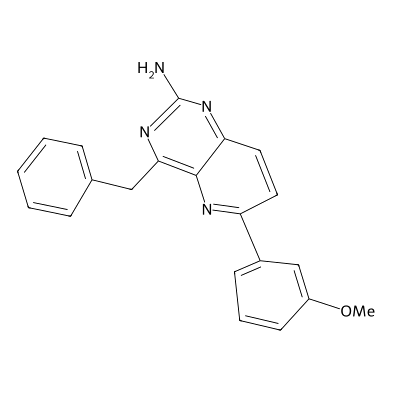 COc1cccc(-c2ccc3nc(N)nc(Cc4ccccc4)c3n2)c1